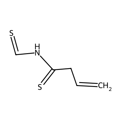 C=CCC(=S)NC=S